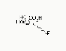 O=C(O)c1c(CCCCCCCCF)ccc(O)c1O